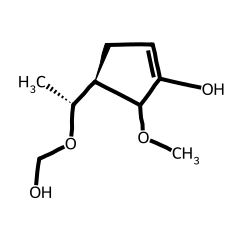 COC1C(O)=CC[C@@H]1[C@@H](C)OCO